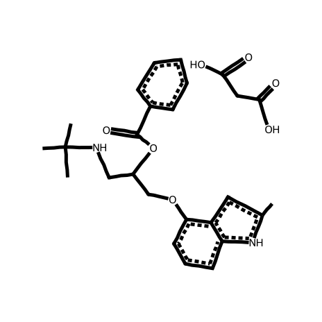 Cc1cc2c(OCC(CNC(C)(C)C)OC(=O)c3ccccc3)cccc2[nH]1.O=C(O)CC(=O)O